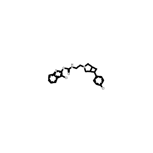 O=C(NCCN1CC2CC(c3ccc(Cl)cc3)C2C1)Oc1sc2ccccc2c1Cl